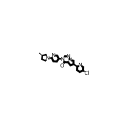 C[C@@H]1CCN(c2ccc(-n3cnn4cc(-c5ccc(Cl)cn5)cc4c3=O)cn2)C1